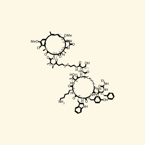 CCNC(=O)N[C@H](Cc1ccccc1)C(=O)N[C@H]1CSSC[C@@H](C(=O)N[C@H](C(=O)NCCSSCCC(=O)N(C)[C@@H](C)C(=O)O[C@H]2CC(=O)N(C)c3cc(cc(OC)c3Cl)C/C(C)=C/C=C/[C@@H](OC)[C@@]3(O)C[C@H](OC(=O)N3)[C@@H](C)[C@@H]3O[C@@]23C)[C@@H](C)O)NC(=O)[C@H]([C@@H](C)O)NC(=O)[C@H](CCCCCN)NC(=O)[C@@H](Cc2c[nH]c3ccccc23)NC(=O)[C@H](Cc2ccc(O)cc2)NC1=O